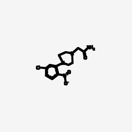 NC(=O)CN1CCN(c2cc(Cl)ccc2[N+](=O)[O-])CC1